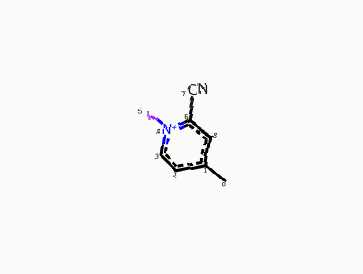 Cc1cc[n+](I)c(C#N)c1